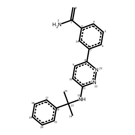 C=C(N)c1cccc(-c2ccc(NC(C)(C)c3ccccc3)nn2)c1